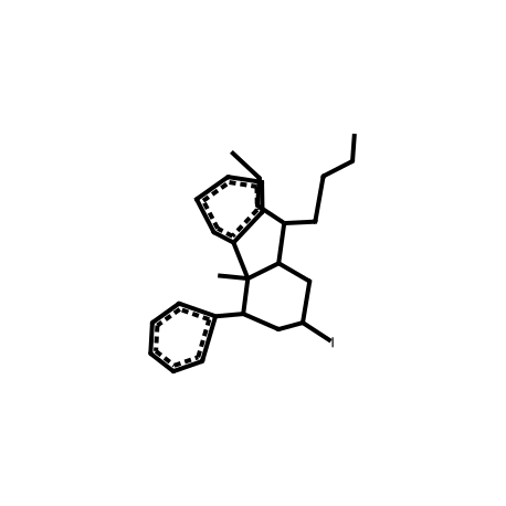 CCCCC(CCC)C1CC(I)CC(c2ccccc2)C1(C)c1ccccc1